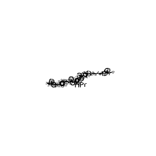 C=CC(=O)OCCCCCCOc1ccc(C(=O)Oc2ccc(OC(=O)CCc3ccc(CCOC(=O)C=C)cc3)c(CCC)c2)cc1